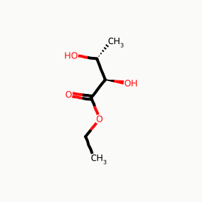 CCOC(=O)[C@H](O)[C@@H](C)O